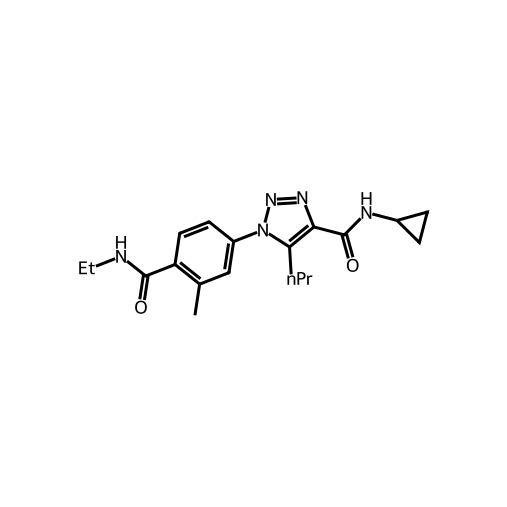 CCCc1c(C(=O)NC2CC2)nnn1-c1ccc(C(=O)NCC)c(C)c1